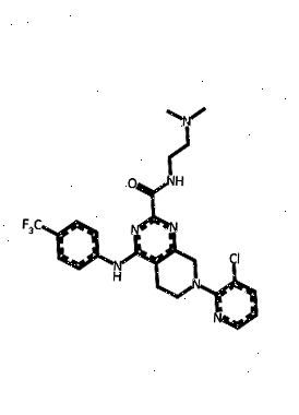 CN(C)CCNC(=O)c1nc2c(c(Nc3ccc(C(F)(F)F)cc3)n1)CCN(c1ncccc1Cl)C2